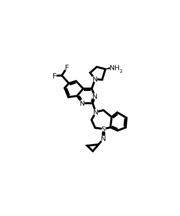 N[C@@H]1CCN(c2nc(N3CCS(=NC4CC4)c4ccccc4C3)nc3ccc(C(F)F)cc23)C1